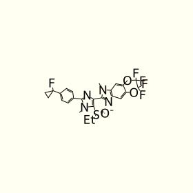 CC[S+]([O-])c1c(-c2nc3cc4c(cc3n2C)OC(F)(F)C(F)(F)O4)nc(-c2ccc(C3(F)CC3)cc2)n1C